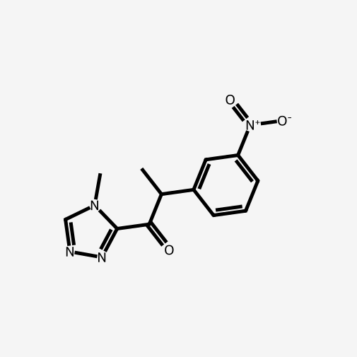 CC(C(=O)c1nncn1C)c1cccc([N+](=O)[O-])c1